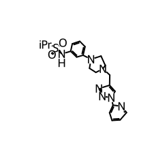 [CH2]C(C)S(=O)(=O)Nc1cccc(N2CCN(Cc3cn(-c4ccccn4)nn3)CC2)c1